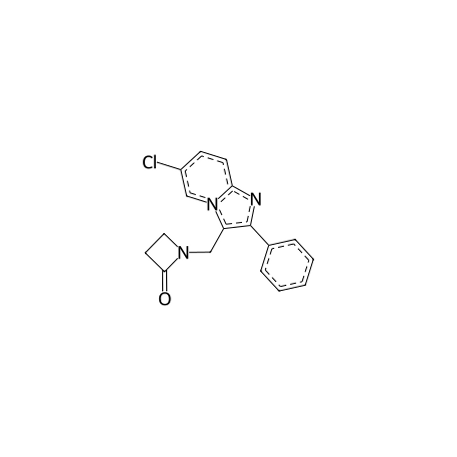 O=C1CCN1Cc1c(-c2ccccc2)nc2ccc(Cl)cn12